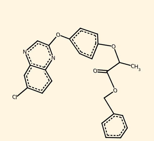 CC(Oc1ccc(Oc2cnc3cc(Cl)ccc3n2)cc1)C(=O)OCc1ccccc1